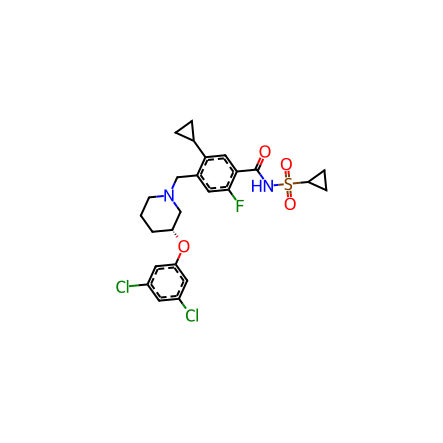 O=C(NS(=O)(=O)C1CC1)c1cc(C2CC2)c(CN2CCC[C@@H](Oc3cc(Cl)cc(Cl)c3)C2)cc1F